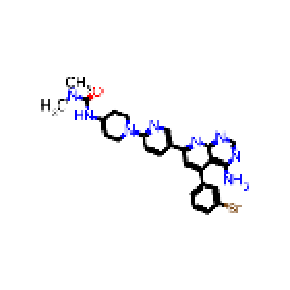 CN(C)C(=O)NC1CCN(c2ccc(-c3cc(-c4cccc(Br)c4)c4c(N)ncnc4n3)cn2)CC1